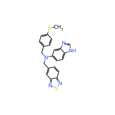 CSc1ccc(CN(Cc2ccc3nsnc3c2)c2ccc3[nH]cnc3c2)cc1